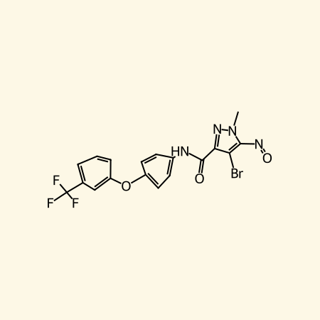 Cn1nc(C(=O)Nc2ccc(Oc3cccc(C(F)(F)F)c3)cc2)c(Br)c1N=O